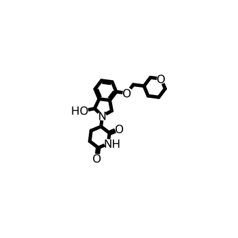 O=C1CCC(N2Cc3c(OCC4CCCOC4)cccc3C2O)C(=O)N1